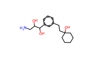 NCC(O)C(O)c1cccc(CCC2(O)CCCCC2)c1